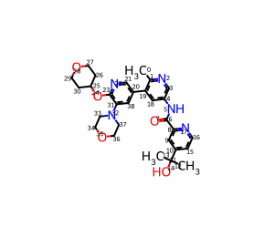 Cc1ncc(NC(=O)c2cc(C(C)(C)O)ccn2)cc1-c1cnc(OC2CCOCC2)c(N2CCOCC2)c1